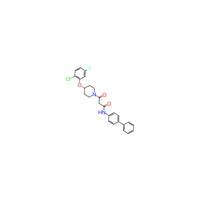 O=C(CC(=O)N1CCC(Oc2cc(F)ccc2Cl)CC1)Nc1ccc(-c2ccccc2)cc1